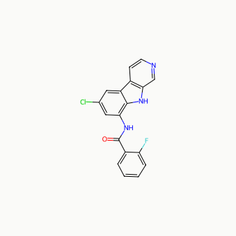 O=C(Nc1cc(Cl)cc2c1[nH]c1cnccc12)c1ccccc1F